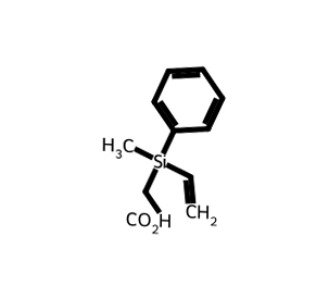 C=C[Si](C)(CC(=O)O)c1ccccc1